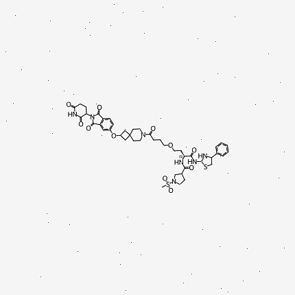 CS(=O)(=O)N1CCC(C(=O)N[C@@H](CCOCCCC(=O)N2CCC3(CC2)CC(Oc2ccc4c(c2)C(=O)N(C2CCC(=O)NC2=O)C4=O)C3)C(=O)NC2NC(c3ccccc3)CS2)C1